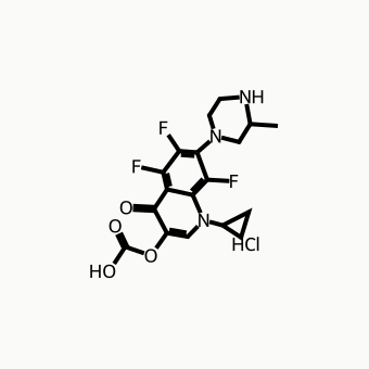 CC1CN(c2c(F)c(F)c3c(=O)c(OC(=O)O)cn(C4CC4)c3c2F)CCN1.Cl